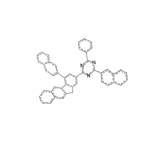 c1ccc(-c2nc(-c3cc4c(c(-c5ccc6ccccc6c5)c3)-c3cc5ccccc5cc3C4)nc(-c3ccc4ccccc4c3)n2)cc1